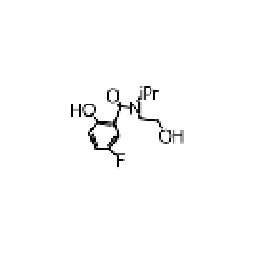 CC(C)N(CCO)C(=O)c1cc(F)ccc1O